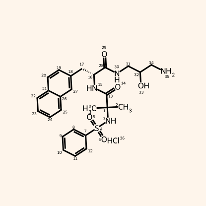 CC(C)(NS(=O)(=O)c1ccccc1)C(=O)N[C@H](Cc1ccc2ccccc2c1)C(=O)NCC(O)CN.Cl